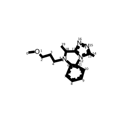 COCCCN1c2ccccc2-n2c(C)nnc2C1C